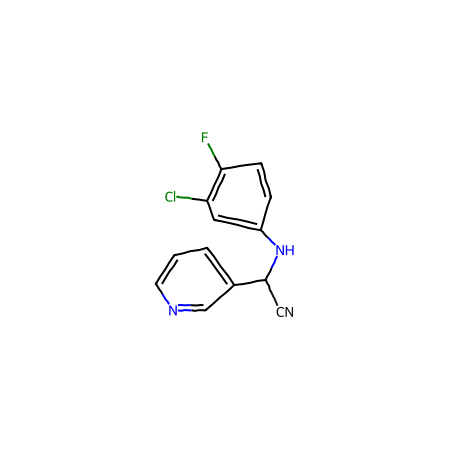 N#CC(Nc1ccc(F)c(Cl)c1)c1cccnc1